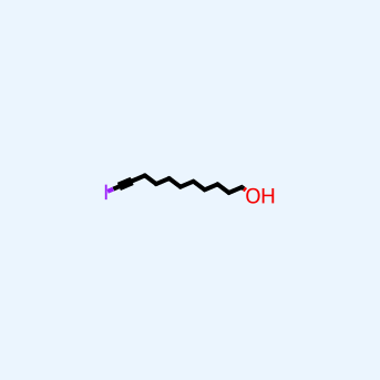 OCCCCCCCCCC#CI